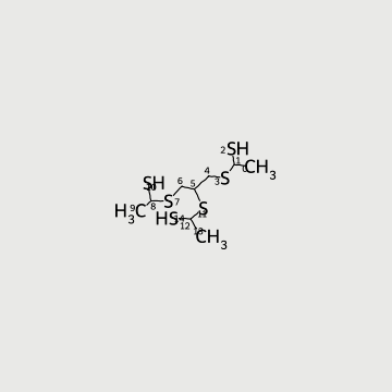 CC(S)SCC(CSC(C)S)SC(C)S